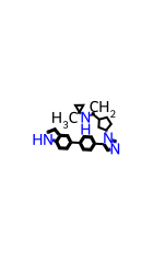 C=C(NC1(C)CC1)C1CCC(n2cncc2-c2ccc(-c3ccc4[nH]ccc4c3)cc2)C1